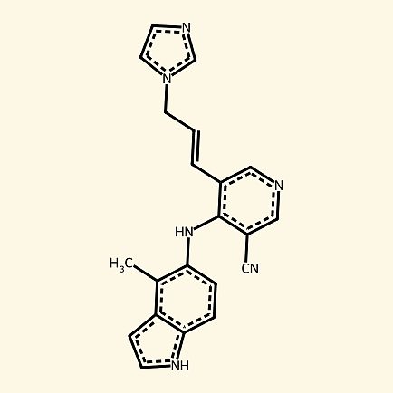 Cc1c(Nc2c(C#N)cncc2/C=C/Cn2ccnc2)ccc2[nH]ccc12